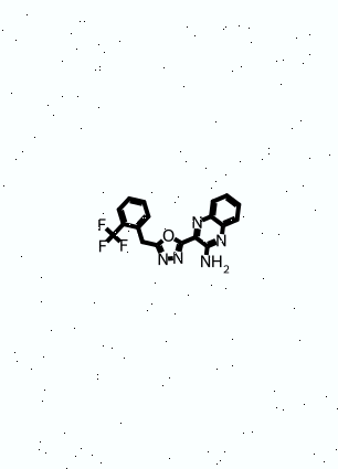 Nc1nc2ccccc2nc1-c1nnc(Cc2ccccc2C(F)(F)F)o1